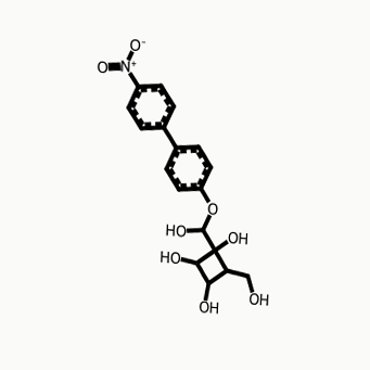 O=[N+]([O-])c1ccc(-c2ccc(OC(O)C3(O)C(O)C(O)C3CO)cc2)cc1